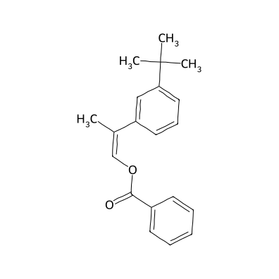 CC(=COC(=O)c1ccccc1)c1cccc(C(C)(C)C)c1